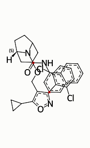 O=C(Nc1cccc2ccccc12)N1C2CC[C@H]1CC(OCc1c(-c3c(Cl)cccc3Cl)noc1C1CC1)C2